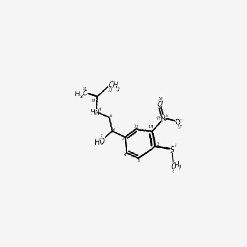 CSc1ccc(C(O)CNC(C)C)cc1[N+](=O)[O-]